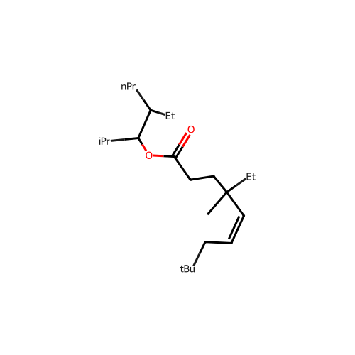 CCCC(CC)C(OC(=O)CCC(C)(/C=C\CC(C)(C)C)CC)C(C)C